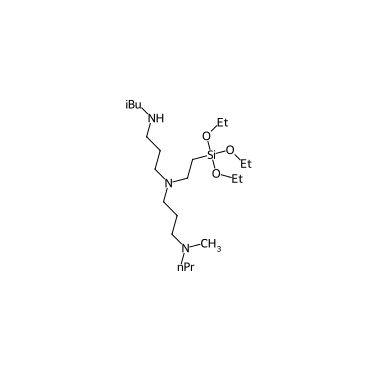 CCCN(C)CCCN(CCCNC(C)CC)CC[Si](OCC)(OCC)OCC